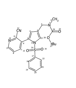 CN(Cc1cc(-c2cccnc2C#N)n(S(=O)(=O)c2ccccc2)c1)C(=O)OC(C)(C)C